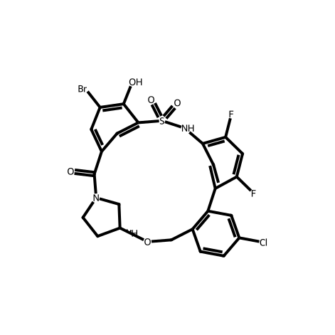 O=C1c2cc(Br)c(O)c(c2)S(=O)(=O)Nc2cc(c(F)cc2F)-c2cc(Cl)ccc2CO[C@H]2CCN1C2